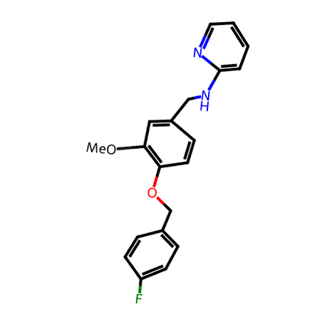 COc1cc(CNc2ccccn2)ccc1OCc1ccc(F)cc1